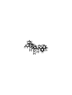 C/C=C\NCC(NC(=N)CCC)C1(C)C(O)[C@H](NC(=O)c2cccc3c2OCCC3(C)C)CN1C